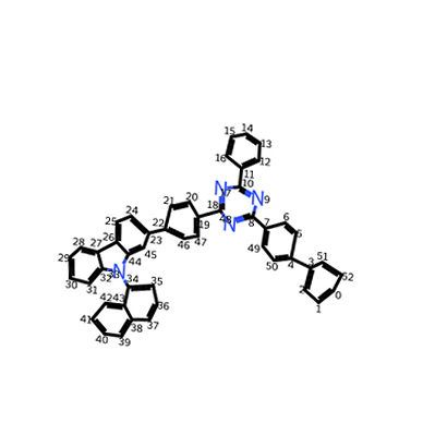 c1ccc(-c2ccc(-c3nc(-c4ccccc4)nc(-c4ccc(-c5ccc6c7ccccc7n(-c7cccc8ccccc78)c6c5)cc4)n3)cc2)cc1